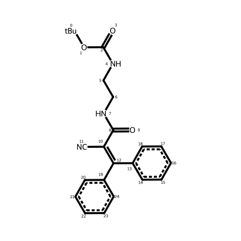 CC(C)(C)OC(=O)NCCNC(=O)C(C#N)=C(c1ccccc1)c1ccccc1